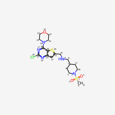 CS(=O)(=O)N1CCC(CNCc2cc3nc(Cl)nc(N4CCOCC4)c3s2)CC1